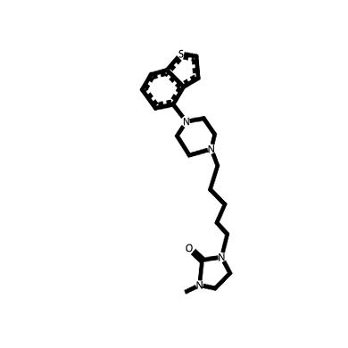 CN1CCN(CCCCCN2CCN(c3cccc4sccc34)CC2)C1=O